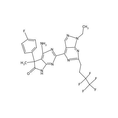 CCn1ncc2c(-c3nc(N)c4c(n3)NC(=O)C4(C)c3ccc(F)cc3)nc(CCC(F)(F)C(F)(F)F)nc21